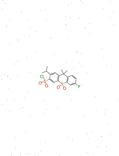 CC(C)c1cc2c(cc1S(=O)(=O)Cl)S(=O)(=O)c1cc(F)ccc1C2(C)C